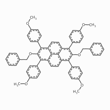 COc1ccc(-c2c(OCc3ccccc3)c(-c3ccc(OC)cc3)c3ccc4c(-c5ccc(OC)cc5)c(OCc5ccccc5)c(-c5ccc(OC)cc5)c5ccc2c3c54)cc1